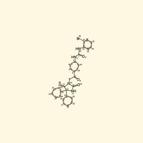 O=C(Nc1ccc(C(=O)CN2C(=O)NC(c3ccccc3)(c3ccccc3)C2=O)cc1)Nc1ncccc1Br